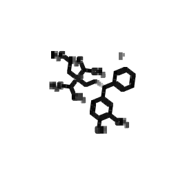 CCC[N+](CC[C@H](c1ccccc1)c1ccc(O)c(C)c1)(C(C)C)C(C)C.[I-]